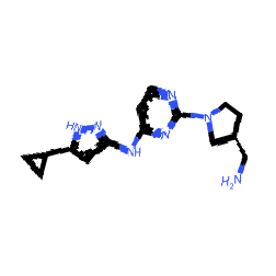 NC[C@@H]1CCN(c2nccc(Nc3cc(C4CC4)[nH]n3)n2)C1